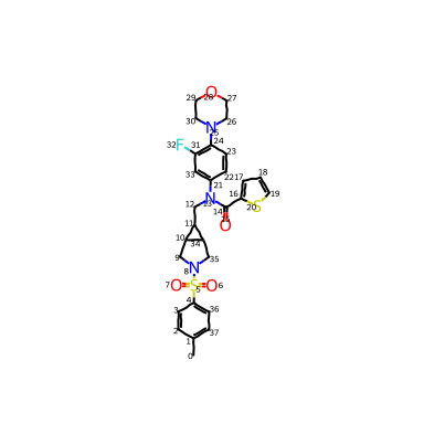 Cc1ccc(S(=O)(=O)N2CC3C(CN(C(=O)c4cccs4)c4ccc(N5CCOCC5)c(F)c4)C3C2)cc1